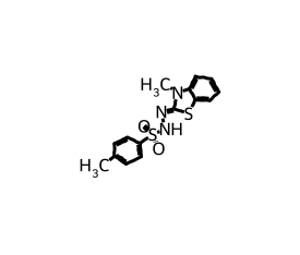 Cc1ccc(S(=O)(=O)N/N=c2\sc3ccccc3n2C)cc1